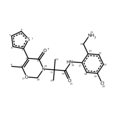 CC1=C(c2cccs2)C(=O)N(C(C)(C)C(=O)Nc2cc(Cl)ccc2CN)CO1